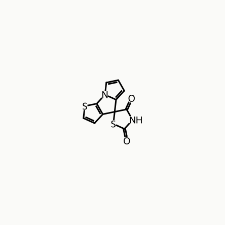 O=C1NC(=O)C2(S1)c1ccsc1-n1cccc12